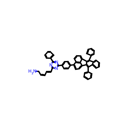 NC/C=C\C=C\c1nc(-c2ccccc2)nc(-c2ccc(-c3ccc4c5c(cccc35)-c3c-4c(-c4ccccc4)c4ccccc4c3-c3ccccc3)cc2)n1